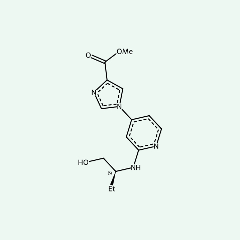 CC[C@@H](CO)Nc1cc(-n2cnc(C(=O)OC)c2)ccn1